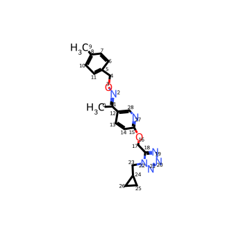 C/C(=N\OCc1ccc(C)cc1)c1ccc(OCc2nnnn2CC2CC2)nc1